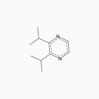 CC(C)c1nccnc1C(C)C